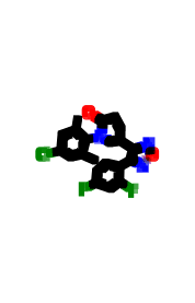 Cc1cc(Cl)cc(C)c1-n1cc(-c2nonc2-c2ccc(F)cc2F)ccc1=O